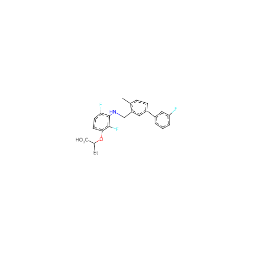 CCC(Oc1ccc(F)c(NCc2cc(-c3cccc(F)c3)ccc2C)c1F)C(=O)O